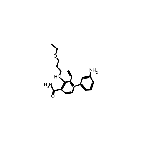 C=Cc1c(-c2cccc(N)c2)ccc(C(N)=O)c1NCCCOCC